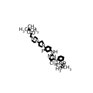 CN(c1ccccc1Nc1nc(Nc2ccc(N3CCC(N4CCN(CC(=O)OC(C)(C)C)CC4)CC3)c(F)c2)ncc1Cl)S(C)(=O)=O